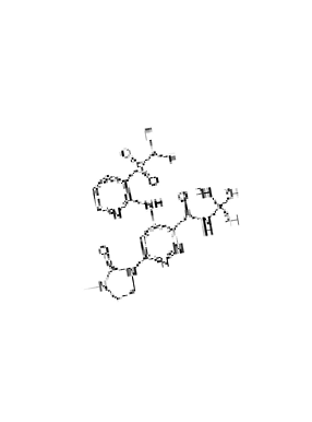 [2H]C([2H])([2H])NC(=O)c1nnc(N2CCN(C)C2=O)cc1Nc1ncccc1S(=O)(=O)C(F)F